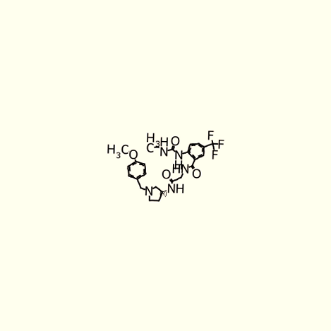 CCNC(=O)Nc1ccc(C(F)(F)F)cc1C(=O)NCC(=O)N[C@@H]1CCN(Cc2ccc(OC)cc2)C1